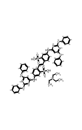 CCN(CC)CC.O=S(=O)(O)c1cc(Nc2cc(Oc3ccccc3)nc(Oc3ccccc3)n2)ccc1C=Cc1ccc(Nc2cc(Oc3ccccc3)nc(Oc3ccccc3)n2)cc1S(=O)(=O)O